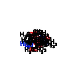 CO[C@]1(C)C[C@@H](C[C@]2(C)C(=O)OC[C@H](C3CN(C(=O)[C@@H](C)N(C)C)C3)N(C)C[C@H](C)C[C@@](C)(OC)[C@H](O[C@@H]3O[C@H](C)C[C@H](N(C)C)[C@H]3O)[C@@H](C)C2=O)CN(C)[C@@H]([C@@H]2CCCNC2)CNC(=O)C(C)(C)C(=O)[C@H](C)[C@H]1O[C@@H]1O[C@H](C)C[C@H](N(C)C)[C@H]1O